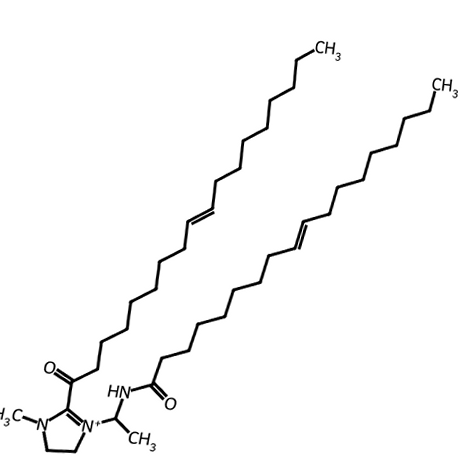 CCCCCCCCC=CCCCCCCCC(=O)NC(C)[N+]1=C(C(=O)CCCCCCCC=CCCCCCCCC)N(C)CC1